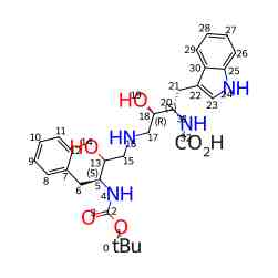 CC(C)(C)OC(=O)N[C@@H](Cc1ccccc1)C(O)CNC[C@@H](O)[C@H](Cc1c[nH]c2ccccc12)NC(=O)O